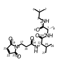 CC(C)CNC(=O)[C@H](C)NC(=O)[C@@H](NC(=O)CCN1C(=O)C=CC1=O)C(C)C